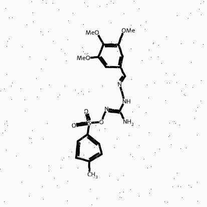 COc1cc(C=NNC(N)=NOS(=O)(=O)c2ccc(C)cc2)cc(OC)c1OC